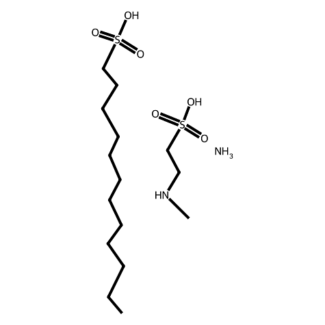 CCCCCCCCCCCCS(=O)(=O)O.CNCCS(=O)(=O)O.N